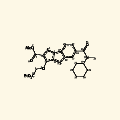 CCOC(=O)COc1c(C(=O)OC)sc2c1sc1cc(C(=O)N(C)C3CCCCC3)ccc12